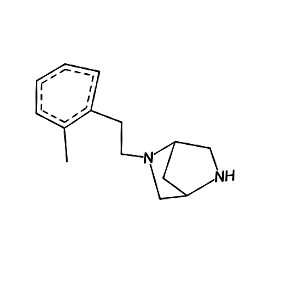 Cc1ccccc1CCN1CC2CC1CN2